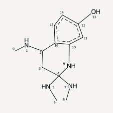 CNC1CC(NC)(NC)Nc2cc(O)ccc21